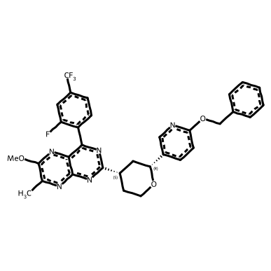 COc1nc2c(-c3ccc(C(F)(F)F)cc3F)nc([C@H]3CCO[C@@H](c4ccc(OCc5ccccc5)nc4)C3)nc2nc1C